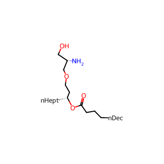 CCCCCCCCCCCCCC(=O)O[C@H](CCCCCCC)CCOC[C@@H](N)CO